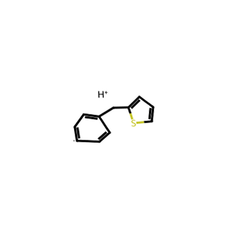 [H+].[c]1ccc(Cc2cccs2)cc1